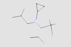 CC(C)[C@@H](C)N(C1CC1)[C@@H](C(C)C)C(F)(F)F